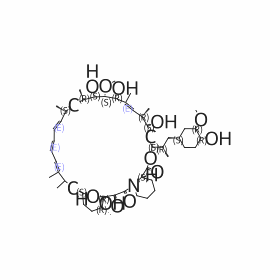 CO[C@H]1[C@@H](O)[C@H](C)C[C@H](C)/C=C/C=C/C=C(\C)C(C)C[C@@H]2CC[C@@H](C)[C@@](O)(O2)C(=O)C(=O)N2CCCC[C@H]2C(=O)O[C@H]([C@H](C)C[C@@H]2CC[C@@H](O)[C@H](OC)C2)C[C@H](O)[C@H](C)/C=C(\C)[C@H]1O